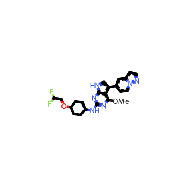 COc1nc(NC2CCC(OCC(F)F)CC2)nc2[nH]cc(-c3ccn4nccc4c3)c12